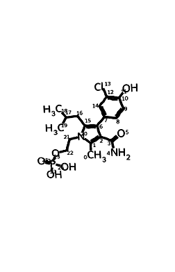 Cc1c(C(N)=O)c(-c2ccc(O)c(Cl)c2)c(CC(C)C)n1CCOP(=O)(O)O